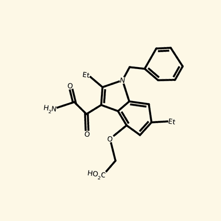 CCc1cc(OCC(=O)O)c2c(C(=O)C(N)=O)c(CC)n(Cc3ccccc3)c2c1